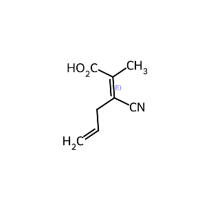 C=CC/C(C#N)=C(/C)C(=O)O